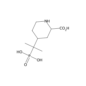 CC(C)(C1CCNC(C(=O)O)C1)P(=O)(O)O